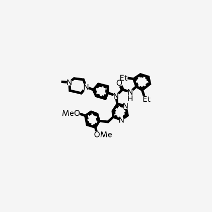 CCc1cccc(CC)c1NC(=O)N(c1ccc(N2CCN(C)CC2)cc1)c1cc(Cc2ccc(OC)cc2OC)ncn1